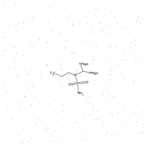 CCCCCCCC(CCCCCCC)N(CCC(F)(F)F)S(N)(=O)=O